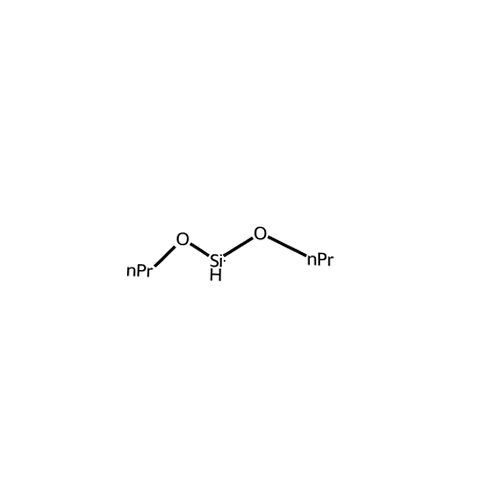 CCCO[SiH]OCCC